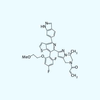 C=CC(=O)N1Cc2cc(-c3nc(-c4ccc5cn[nH]c5c4)c4ccsc4c3-c3c(F)cc(F)cc3OCCOC)nn2[C@@H](C)C1